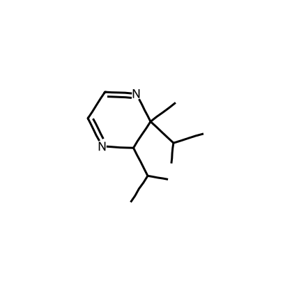 CC(C)C1N=CC=NC1(C)C(C)C